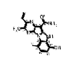 C=Cc1nc2c(C(N)=O)c3[nH]c4c(O)ccc(C)c4n3c2nc1C(F)(F)F